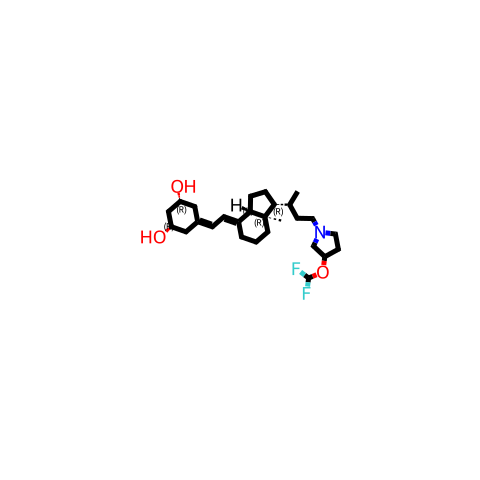 CC(CCN1CCC(OC(F)F)C1)[C@H]1CC[C@H]2C(=CC=C3C[C@@H](O)C[C@H](O)C3)CCC[C@]12C